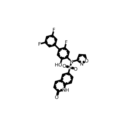 O=c1ccc2cc(S(=O)(=O)N(c3ccon3)c3cc(F)c(-c4cc(F)cc(F)c4)cc3O)ccc2[nH]1